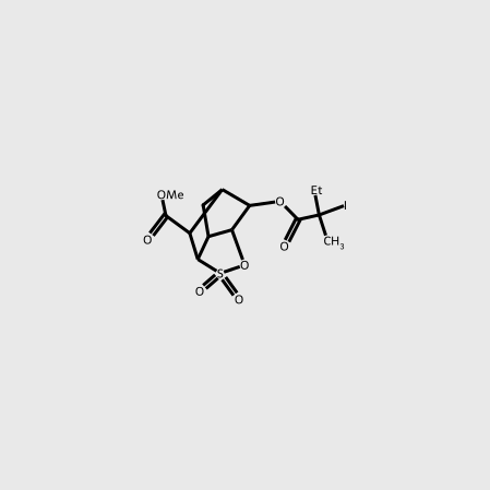 CCC(C)(I)C(=O)OC1C2CC3C1OS(=O)(=O)C3C2C(=O)OC